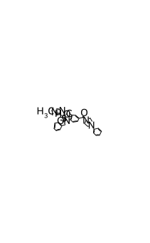 Cc1cc(C(=O)N2CCN(c3ccccc3)CC2)ccc1N(Cc1ccccc1)S(=O)(=O)c1cn(C)cn1